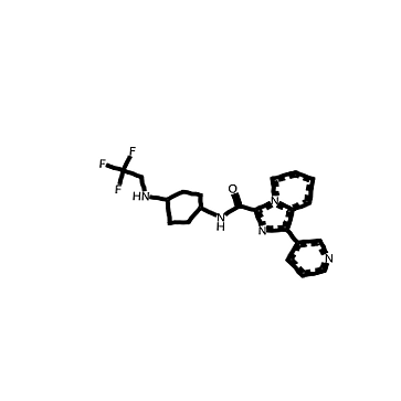 O=C(NC1CCC(NCC(F)(F)F)CC1)c1nc(-c2cccnc2)c2ccccn12